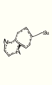 CC(C)(C)c1ccc2nccnc2c1